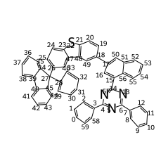 c1ccc(-c2nc(-c3ccccc3)nc(-c3cc(-c4ccc5sc6ccc(C7(c8ccccc8)c8ccccc8-c8ccccc87)cc6c5c4)cc4ccccc34)n2)cc1